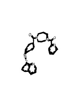 O=C(c1ccc(NSc2cccc3cccnc23)cc1)N1CCCN(C(=O)c2ccccn2)CC1